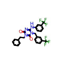 O=c1nc(Nc2cccc(C(F)(F)F)c2)n(Cc2cccc(C(F)(F)F)c2)c(=O)n1CCc1ccccc1